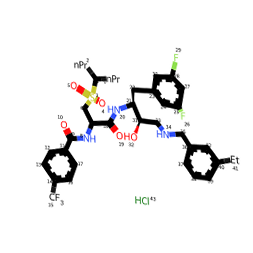 CCCC(CCC)S(=O)(=O)CC(NC(=O)c1ccc(C(F)(F)F)cc1)C(=O)N[C@@H](Cc1cc(F)cc(F)c1)[C@H](O)CNCc1cccc(CC)c1.Cl